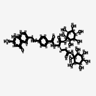 Nc1nc(=O)c2nc(CNc3ccc(C(=O)N[C@@H](CCC(=O)O[C@]4(O)[C@H](O)[C@H](O)[C@@H](O)[C@H](O)[C@H]4O)C(=O)O[C@]4(O)[C@H](O)[C@H](O)[C@@H](O)[C@H](O)[C@H]4O)cc3)cnc2[nH]1